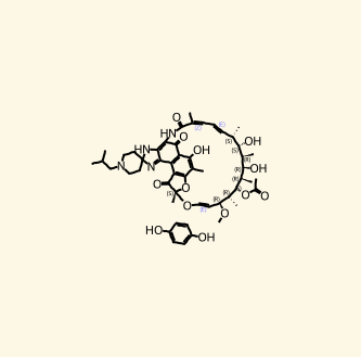 CO[C@H]1/C=C/O[C@@]2(C)Oc3c(C)c(O)c4c(c3C2=O)C2=NC3(CCN(CC(C)C)CC3)NC2=C(NC(=O)/C(C)=C\C=C\[C@H](C)[C@H](O)[C@@H](C)[C@@H](O)[C@@H](C)[C@H](OC(C)=O)[C@@H]1C)C4=O.Oc1ccc(O)cc1